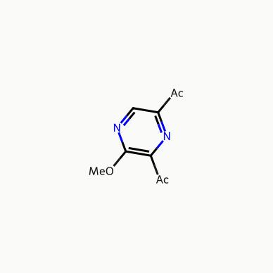 COc1ncc(C(C)=O)nc1C(C)=O